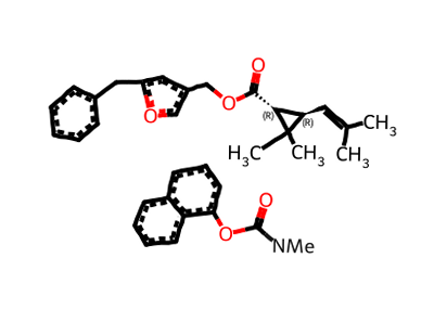 CC(C)=C[C@@H]1[C@@H](C(=O)OCc2coc(Cc3ccccc3)c2)C1(C)C.CNC(=O)Oc1cccc2ccccc12